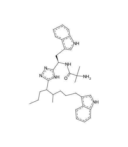 CCCC(c1nnc([C@@H](Cc2c[nH]c3ccccc23)NC(=O)C(C)(C)N)[nH]1)C(C)CCCc1c[nH]c2ccccc12